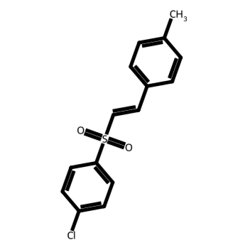 Cc1ccc(C=CS(=O)(=O)c2ccc(Cl)cc2)cc1